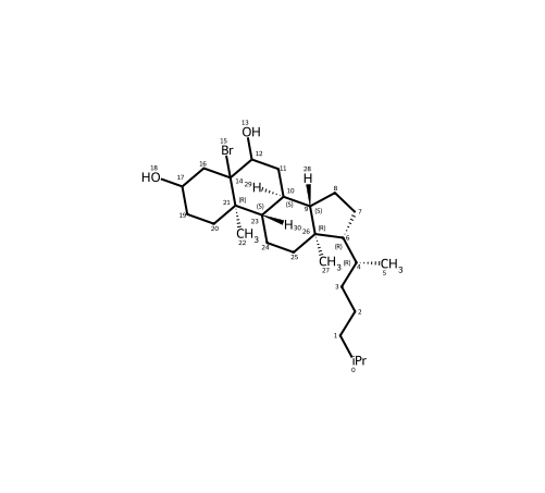 CC(C)CCC[C@@H](C)[C@H]1CC[C@H]2[C@@H]3CC(O)C4(Br)CC(O)CC[C@]4(C)[C@H]3CC[C@]12C